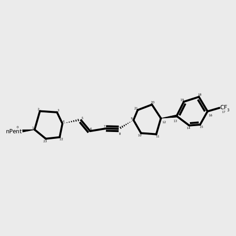 CCCCC[C@H]1CC[C@H](C=CC#C[C@H]2CC[C@H](c3ccc(C(F)(F)F)cc3)CC2)CC1